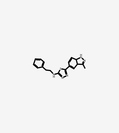 CC1=NNC2C=CC(c3nnc(NCCc4ccccc4)s3)=CC12